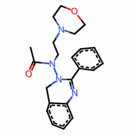 CC(=O)N(CCN1CCOCC1)N1Cc2ccccc2N=C1c1ccccc1